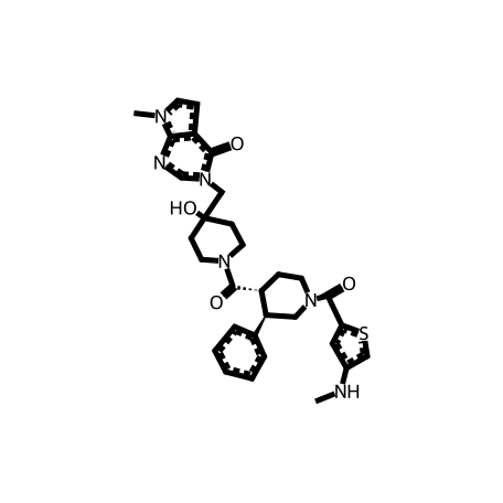 CNc1csc(C(=O)N2CC[C@@H](C(=O)N3CCC(O)(Cn4cnc5c(ccn5C)c4=O)CC3)[C@H](c3ccccc3)C2)c1